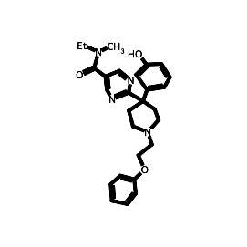 CCN(C)C(=O)c1cnc(C2(c3cccc(O)c3)CCN(CCOc3ccccc3)CC2)nc1